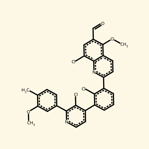 [CH2]c1ccc(-c2nccc(-c3cccc(-c4ccc5c(OC)c(C=O)cc(Cl)c5n4)c3Cl)c2Cl)cc1OC